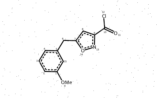 COc1cccc(Cc2cc(C(=O)Cl)no2)c1